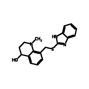 CN1CCC(O)c2cccc(CSc3nc4ccccc4[nH]3)c21